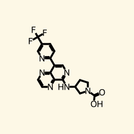 O=C(O)N1CCC(Nc2ncc(-c3ccc(C(F)(F)F)cn3)c3nccnc23)C1